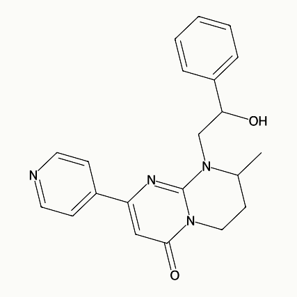 CC1CCn2c(nc(-c3ccncc3)cc2=O)N1CC(O)c1ccccc1